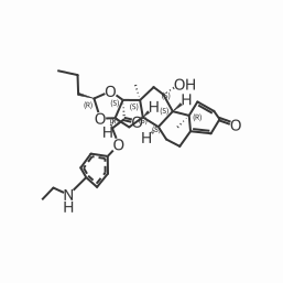 CCC[C@@H]1O[C@@H]2C[C@H]3[C@@H]4CCC5=CC(=O)C=C[C@]5(C)[C@H]4[C@@H](O)C[C@]3(C)[C@]2(C(=O)COc2ccc(NCC)cc2)O1